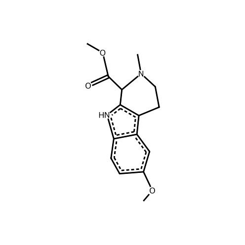 COC(=O)C1c2[nH]c3ccc(OC)cc3c2CCN1C